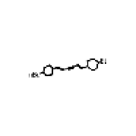 CCCCC1CCC(C=CC#CC=CC2CCC(CC)CC2)CC1